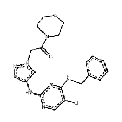 O=C(Cn1cc(Nc2ncc(Cl)c(NCc3ccccc3)n2)cn1)N1CCOCC1